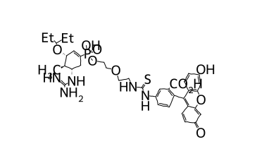 CCC(CC)O[C@@H]1C=C(P(=O)(O)OCCOCCNC(=S)Nc2ccc(-c3c4ccc(=O)cc-4oc4cc(O)ccc34)c(C(=O)O)c2)C[C@H](NC(=N)N)[C@H]1C